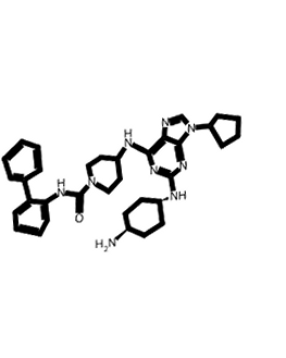 N[C@H]1CC[C@H](Nc2nc(NC3CCN(C(=O)Nc4ccccc4-c4ccccc4)CC3)c3ncn(C4CCCC4)c3n2)CC1